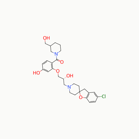 O=C(c1ccc(O)cc1OC[C@H](O)CN1CCC2(CC1)Cc1cc(Cl)ccc1O2)N1CCCC(CO)C1